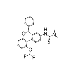 CN(C)C(=S)Nc1ccc2c(c1)C(c1ccccc1)Oc1cccc(OC(F)F)c1-2